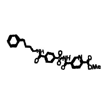 COC(=O)c1ccc(C(=O)NS(=O)(=O)c2ccc(C(=O)NCCCCc3ccccc3)cc2)cn1